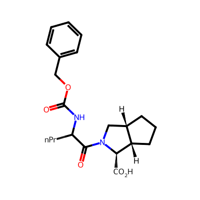 CCCC(NC(=O)OCc1ccccc1)C(=O)N1C[C@@H]2CCC[C@@H]2[C@H]1C(=O)O